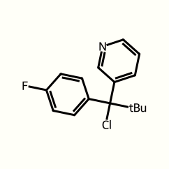 CC(C)(C)C(Cl)(c1ccc(F)cc1)c1cccnc1